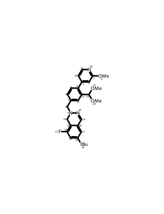 COc1cc(-c2ccc(CN3Cc4c(F)cc(C(C)(C)C)cc4C=N3)cc2C(OC)OC)ccn1